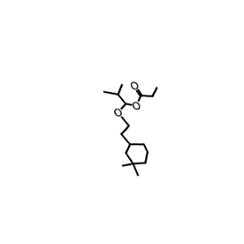 CCC(=O)OC(OCCC1CCCC(C)(C)C1)C(C)C